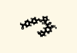 CC(=O)c1ccc(-c2ccc(CO[C@H]3CCC[C@@H]3NC(=O)c3cc(-c4cnn(C)c4)cnc3N)cc2)cc1